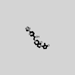 CC1=C(N2CCC3(CCN(C[C@H](O)c4ccc(-n5cnnn5)nc4)CC3)C2=O)CCC1=O